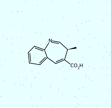 C[C@@H]1C=Nc2ccccc2C=C1C(=O)O